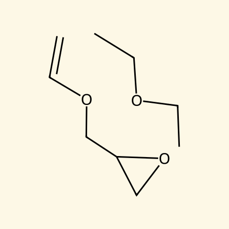 C=COCC1CO1.CCOCC